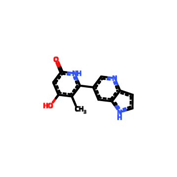 Cc1c(O)cc(=O)[nH]c1-c1cnc2cc[nH]c2c1